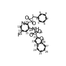 O=S(=O)(Cc1ccccc1)c1ncc(F)cc1NS(=O)(=O)c1cc2ccccc2o1